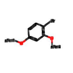 CCCCCOc1ccc(C(C)C)c(OCCCCC)c1